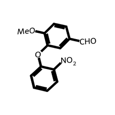 COc1ccc(C=O)cc1Oc1ccccc1[N+](=O)[O-]